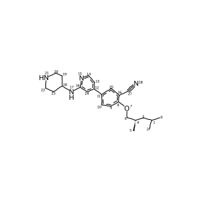 CC(C)C[C@@H](C)COc1ccc(-c2ccnc(NC3CCNCC3)c2)cc1C#N